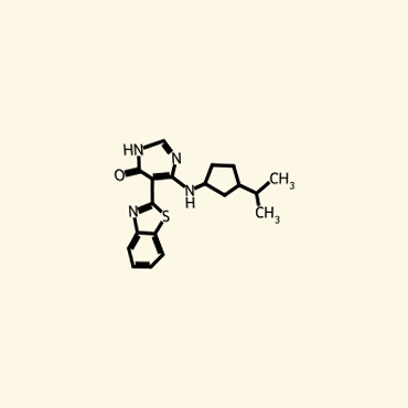 CC(C)C1CCC(Nc2nc[nH]c(=O)c2-c2nc3ccccc3s2)C1